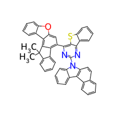 CC1(C)c2ccccc2-c2c(-c3nc(-n4c5ccccc5c5c6ccccc6ccc54)nc4c3sc3ccccc34)cc3oc4ccccc4c3c21